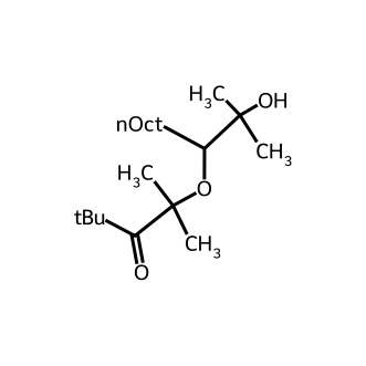 CCCCCCCCC(OC(C)(C)C(=O)C(C)(C)C)C(C)(C)O